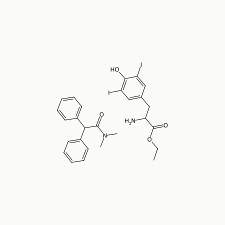 CCOC(=O)C(N)Cc1cc(I)c(O)c(I)c1.CN(C)C(=O)C(c1ccccc1)c1ccccc1